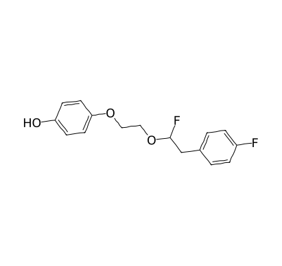 Oc1ccc(OCCOC(F)Cc2ccc(F)cc2)cc1